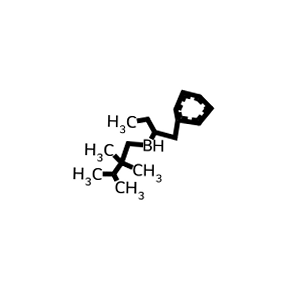 CCC(BCC(C)(C)C(C)C)Cc1ccccc1